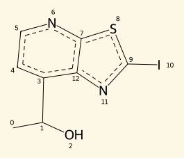 CC(O)c1ccnc2sc(I)nc12